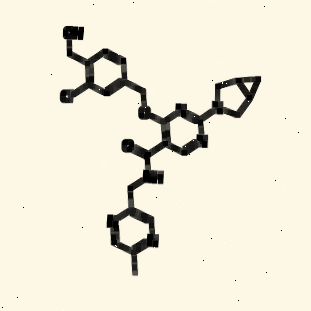 Cc1cnc(CNC(=O)c2cnc(N3CC4CC4C3)nc2OCc2ccc(CO)c(Cl)c2)cn1